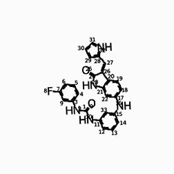 O=C(Nc1cccc(F)c1)Nc1cccc(Nc2ccc3c(c2)NC(=O)C3=Cc2ccc[nH]2)c1